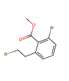 COC(=O)c1c(Br)cccc1CCBr